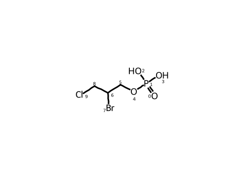 O=P(O)(O)OCC(Br)CCl